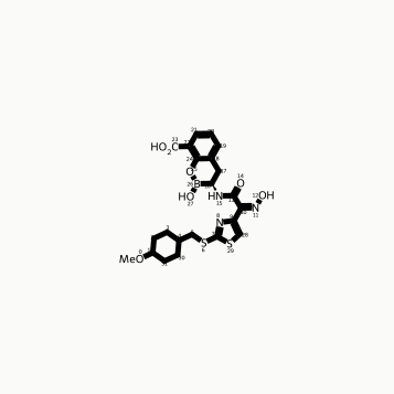 COC1CCC(CSc2nc(/C(=N/O)C(=O)N[C@H]3Cc4cccc(C(=O)O)c4OB3O)cs2)CC1